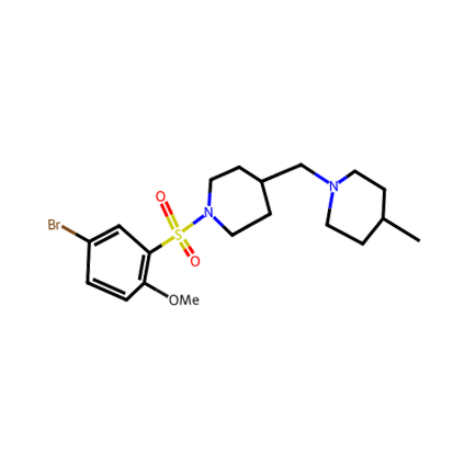 COc1ccc(Br)cc1S(=O)(=O)N1CCC(CN2CCC(C)CC2)CC1